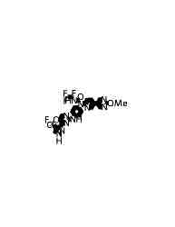 COc1ncc(-c2ccc(N(C(=O)NC(F)C(F)F)C3CCC(Nc4ncc(C(F)(F)F)c(-c5n[nH]cc5Cl)n4)CC3)nc2)cn1